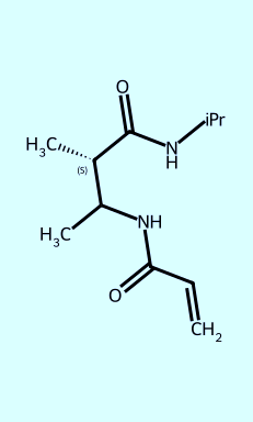 C=CC(=O)NC(C)[C@H](C)C(=O)NC(C)C